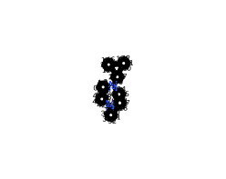 c1ccc(N(c2ccc3c4ccccc4c4ccccc4c3c2)c2ccc3ccc4c5ccccc5n(-c5ccccc5)c4c3c2)cc1